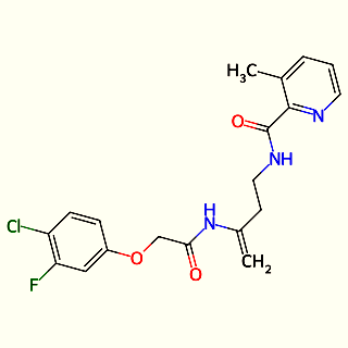 C=C(CCNC(=O)c1ncccc1C)NC(=O)COc1ccc(Cl)c(F)c1